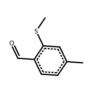 CSc1cc(C)ccc1C=O